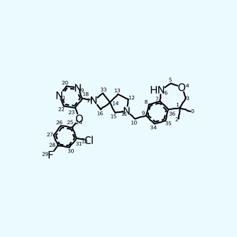 CC1(C)COCNc2cc(CN3CCC4(C3)CN(c3ncncc3Oc3ccc(F)cc3Cl)C4)ccc21